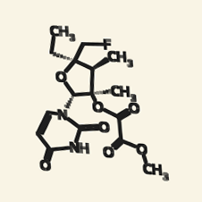 CC[C@@]1(CF)O[C@@H](n2ccc(=O)[nH]c2=O)[C@](C)(OC(=O)C(=O)OC)[C@@H]1C